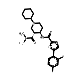 CN(C)C(=O)[C@@H]1CN(C2CCCCC2)CC[C@H]1NC(=O)c1ncc(-c2ccc(F)cc2F)o1